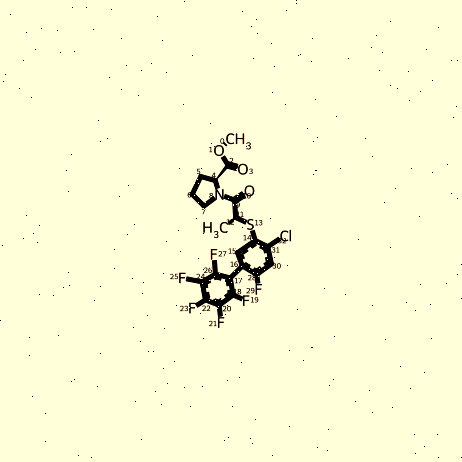 COC(=O)[C@@H]1CCCN1C(=O)[C@H](C)Sc1cc(-c2c(F)c(F)c(F)c(F)c2F)c(F)cc1Cl